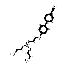 CCCO[SiH](CCCOc1ccc(-c2ccc(C#N)cc2)cc1)OCCC